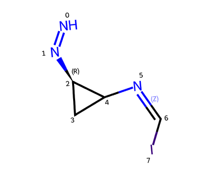 N=N[C@@H]1CC1/N=C\I